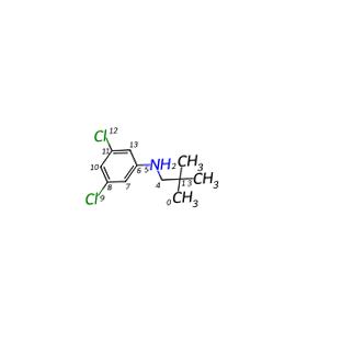 CC(C)(C)CNc1cc(Cl)cc(Cl)c1